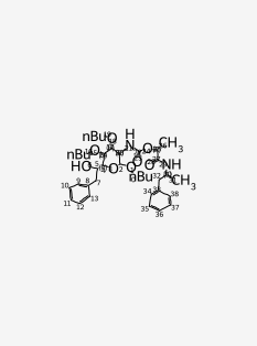 CCCCOC1O[C@H](C(O)Cc2ccccc2)[C@@H](OCCCC)[C@H](OCCCC)[C@H]1NC(=O)O[C@H](C)C(=O)N[C@@H](C)Cc1ccccc1